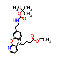 CCOC(=O)CCC[AsH]c1cccnc1Oc1cccc(CCNC(=O)OC(C)(C)C)c1